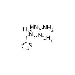 CN(Cc1cccs1)CN(C)C(=N)N